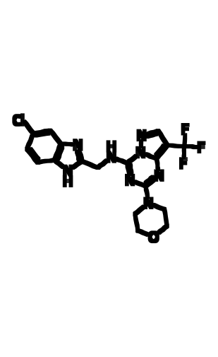 FC(F)(F)c1cnn2c(NCc3nc4cc(Cl)ccc4[nH]3)nc(N3CCOCC3)nc12